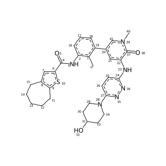 Cc1c(NC(=O)c2cc3c(s2)CCCCC3)cccc1-c1cc(Nc2ccc(N3CCC(O)CC3)nn2)c(=O)n(C)c1